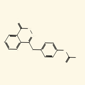 C=C(C)Oc1ccc(Cc2n[nH]c(=O)c3ccccc23)cc1